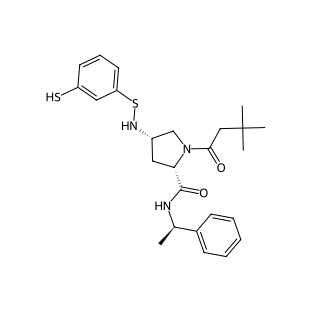 C[C@@H](NC(=O)[C@@H]1C[C@H](NSc2cccc(S)c2)CN1C(=O)CC(C)(C)C)c1ccccc1